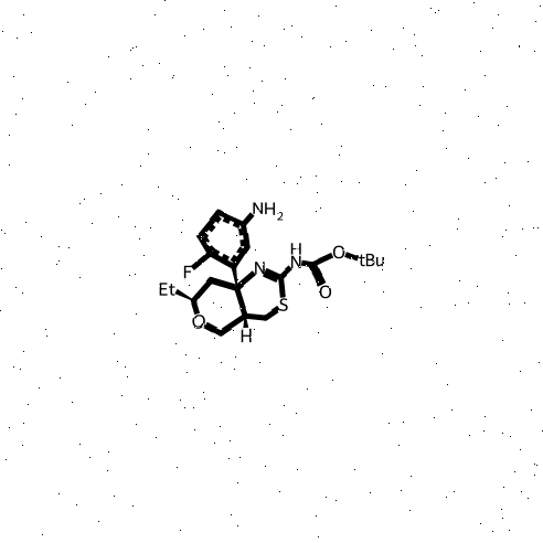 CC[C@H]1C[C@]2(c3cc(N)ccc3F)N=C(NC(=O)OC(C)(C)C)SC[C@@H]2CO1